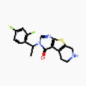 CC(c1ccc(F)cc1F)n1cnc2sc3c(c2c1=O)CCNC3